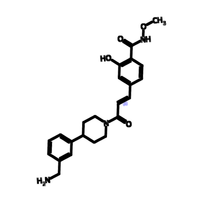 CONC(=O)c1ccc(/C=C/C(=O)N2CCC(c3cccc(CN)c3)CC2)cc1O